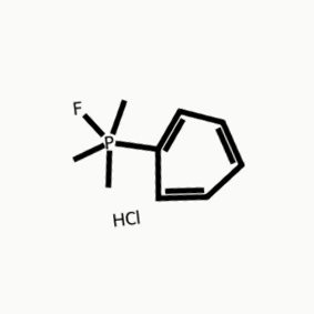 CP(C)(C)(F)c1ccccc1.Cl